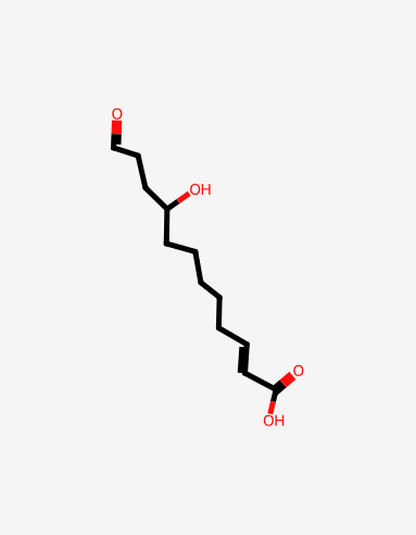 O=CCCC(O)CCCCCC=CC(=O)O